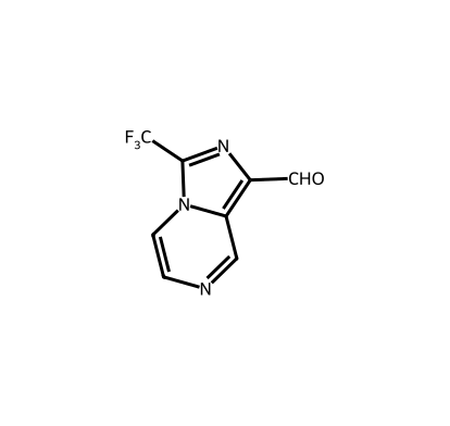 O=Cc1nc(C(F)(F)F)n2ccncc12